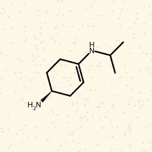 CC(C)NC1=CC[C@@H](N)CC1